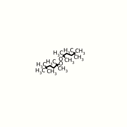 CC(C)(C)CCC(C)(C)OOC(C)(C)CCC(C)(C)C